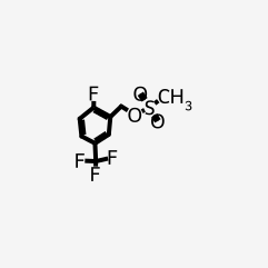 CS(=O)(=O)OCc1cc(C(F)(F)F)ccc1F